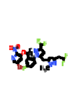 C[C@@H](Oc1cc(Br)cnc1[N+](=O)[O-])c1cc(F)ccc1-n1nc(C(F)F)cc1Cc1cc(CC(F)F)nn1C